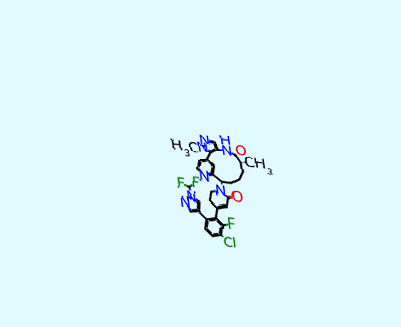 C[C@@H]1CCC[C@H](N2CCC(c3c(-c4cnn(C(F)F)c4)ccc(Cl)c3F)=CC2=O)c2cc(ccn2)-c2c(cnn2C)NC1=O